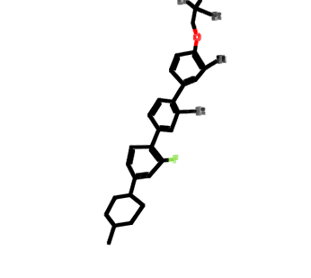 CCc1cc(-c2ccc(-c3ccc(C4CCC(C)CC4)cc3F)cc2CC)ccc1OCC(CC)(CC)CC